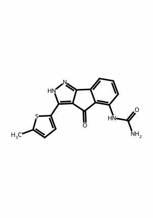 Cc1ccc(-c2[nH]nc3c2C(=O)c2c(NC(N)=O)cccc2-3)s1